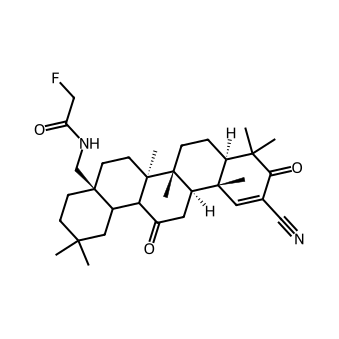 CC1(C)CC[C@]2(CNC(=O)CF)CC[C@]3(C)C(C(=O)C[C@@H]4[C@@]5(C)C=C(C#N)C(=O)C(C)(C)[C@@H]5CC[C@]43C)C2C1